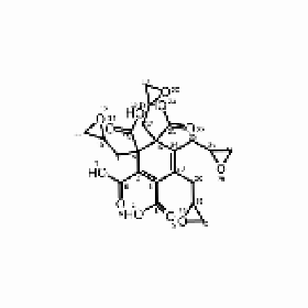 O=C(O)C1=C(C(=O)O)C(CC2CO2)(C(=O)O)C(CC2CO2)(C(=O)O)C(CC2CO2)=C1CC1CO1